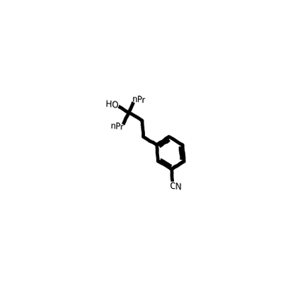 CCCC(O)(CCC)CCc1cccc(C#N)c1